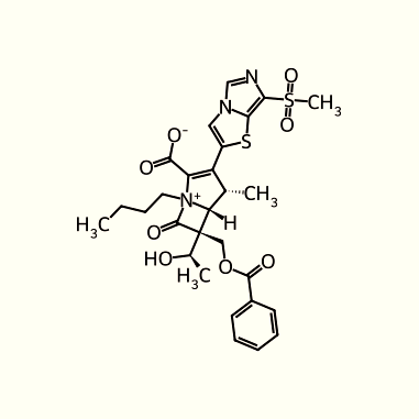 CCCC[N+]12C(=O)[C@@](COC(=O)c3ccccc3)([C@@H](C)O)[C@H]1[C@@H](C)C(c1cn3cnc(S(C)(=O)=O)c3s1)=C2C(=O)[O-]